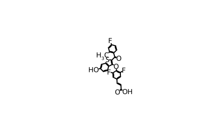 Cc1cc(F)ccc1C(=O)c1sc2cc(O)ccc2c1Oc1c(F)cc(C=CC(=O)O)cc1F